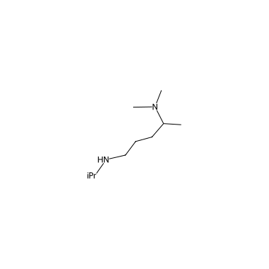 CC(C)NCCCC(C)N(C)C